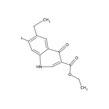 CCOC(=O)c1c[nH]c2cc(I)c(CC)cc2c1=O